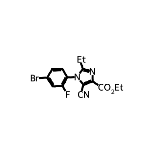 CCOC(=O)c1nc(CC)n(-c2ccc(Br)cc2F)c1C#N